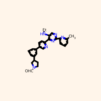 CCNc1cnc(-c2cccc(C)n2)nc1-c1ccc(-c2cccc(C3CCN(C=O)C3)c2)cn1